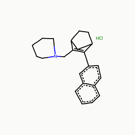 Cl.c1ccc2cc(C3=C(CN4CCCCC4)C4CCC3C4)ccc2c1